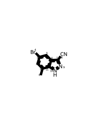 Cc1cc(Br)cc2c(C#N)n[nH]c12